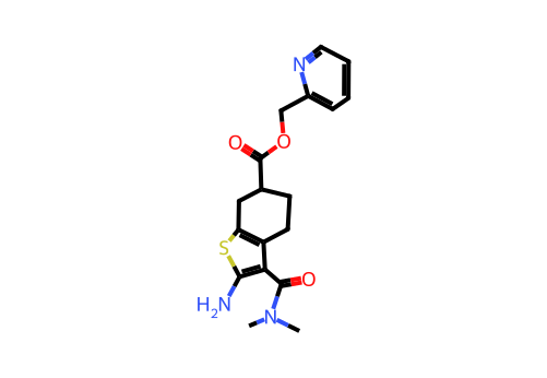 CN(C)C(=O)c1c(N)sc2c1CCC(C(=O)OCc1ccccn1)C2